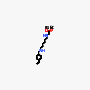 C=Cc1ccc(CNCCCCCCNCC(OCC)OCC)cc1